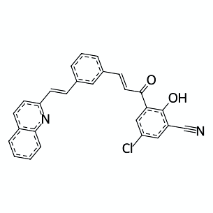 N#Cc1cc(Cl)cc(C(=O)C=Cc2cccc(C=Cc3ccc4ccccc4n3)c2)c1O